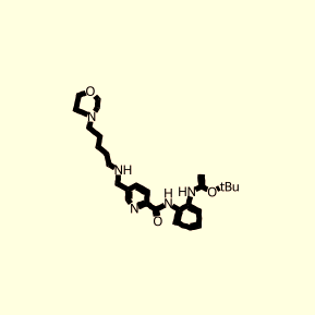 C=C(Nc1ccccc1NC(=O)c1ccc(CNCCCCCN2CCOCC2)cn1)OC(C)(C)C